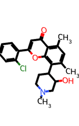 Cc1cc(C)c2c(=O)cc(-c3ccccc3Cl)oc2c1C1CCN(C)CC1O